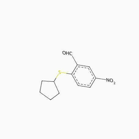 O=Cc1cc([N+](=O)[O-])ccc1SC1CCCC1